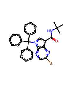 CC(C)(C)NC(=O)c1cn(C(c2ccccc2)(c2ccccc2)c2ccccc2)c2ncc(Br)nc12